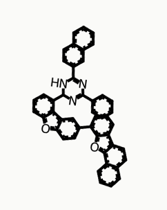 c1ccc(C2=NC(c3cccc4oc5ccc(-c6cccc7c6oc6c8ccccc8ccc76)cc5c34)NC(c3ccc4ccccc4c3)=N2)cc1